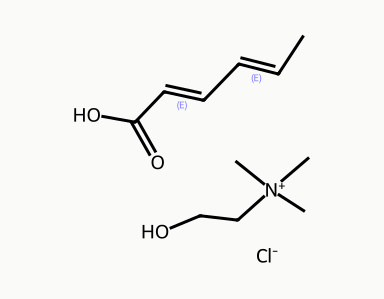 C/C=C/C=C/C(=O)O.C[N+](C)(C)CCO.[Cl-]